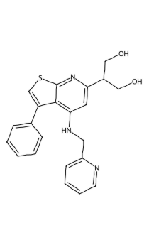 OCC(CO)c1cc(NCc2ccccn2)c2c(-c3ccccc3)csc2n1